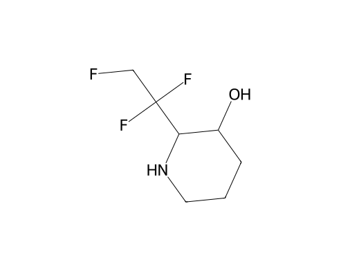 OC1CCCNC1C(F)(F)CF